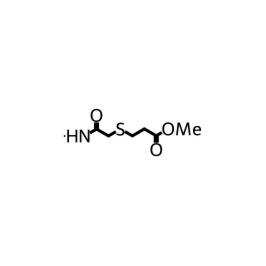 COC(=O)CCSCC([NH])=O